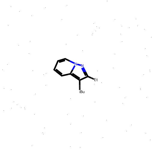 CCc1nn2ccccc2c1C(C)CC